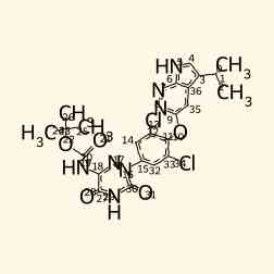 CC(C)c1c[nH]c2nnc(Oc3c(Cl)cc(-n4nc(NC(=O)OC(C)(C)C)c(=O)[nH]c4=O)cc3Cl)cc12